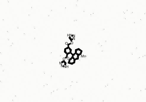 O=C(Oc1c[nH]nn1)c1ccc(C(=O)Oc2c[nH]nn2)c(-c2c3ccccc3cc3ccccc23)c1.[Mn]